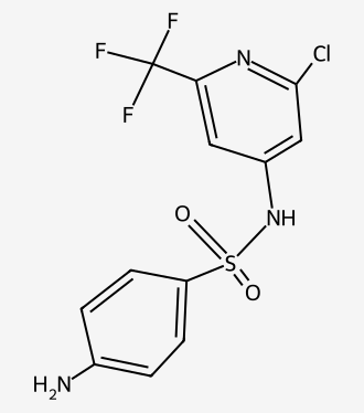 Nc1ccc(S(=O)(=O)Nc2cc(Cl)nc(C(F)(F)F)c2)cc1